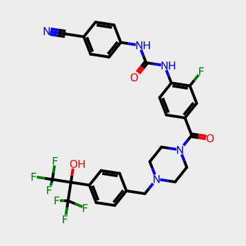 N#Cc1ccc(NC(=O)Nc2ccc(C(=O)N3CCN(Cc4ccc(C(O)(C(F)(F)F)C(F)(F)F)cc4)CC3)cc2F)cc1